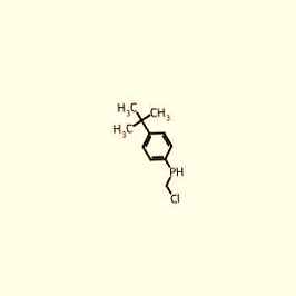 CC(C)(C)c1ccc(PCCl)cc1